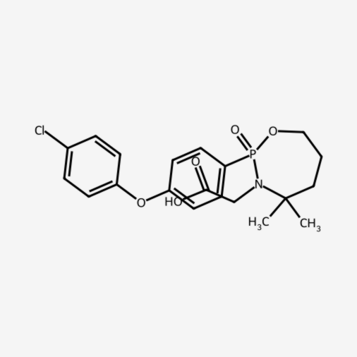 CC1(C)CCCOP(=O)(c2ccc(Oc3ccc(Cl)cc3)cc2)N1CC(=O)O